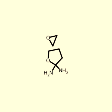 C1CO1.NC1(N)CCCO1